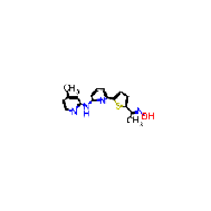 C/C(=N\O)c1ccc(-c2cccc(Nc3cc(C)ccn3)n2)s1